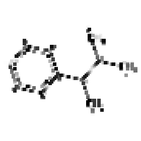 CC(C)C(C)c1[c]cccc1